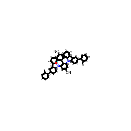 Cc1ccccc1-c1ccc2c(c1)c1ccccc1n2-c1cc(C#N)cc(-n2c3ccccc3c3cc(-c4ccccc4C)ccc32)c1-c1ccc(C#N)cc1F